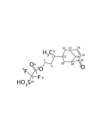 CC(CCOC(=O)C(F)(F)S(=O)(=O)O)C1CC2C=CC(=O)C(C2)C1